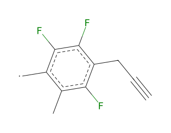 C#CCc1c(F)c(C)c([CH2])c(F)c1F